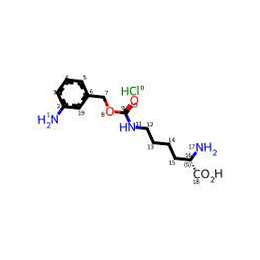 Cl.Nc1cccc(COC(=O)NCCCC[C@H](N)C(=O)O)c1